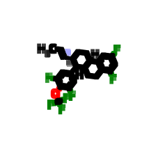 C/C=C/[C@@H]1CC[C@H]2c3cc(F)cc(F)c3CC[C@@H]2[C@H]1c1cc(F)c(OC(F)(F)F)c(F)c1